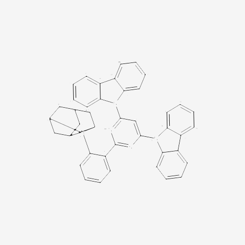 c1ccc(N2C3CC4CC(C3)CC2C4)c(-c2nc(-n3c4ccccc4c4ccccc43)cc(-n3c4ccccc4c4ccccc43)n2)c1